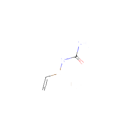 C=CSNC(N)=O.S